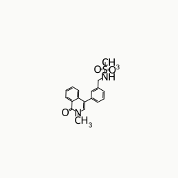 Cn1cc(-c2cccc(CNS(C)(=O)=O)c2)c2ccccc2c1=O